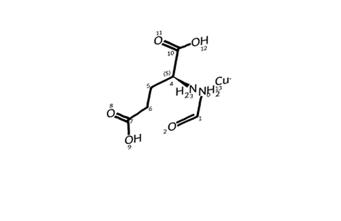 NC=O.N[C@@H](CCC(=O)O)C(=O)O.[Cu]